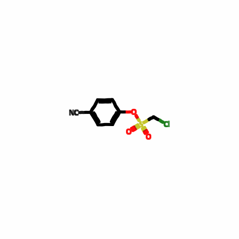 N#Cc1ccc(OS(=O)(=O)CCl)cc1